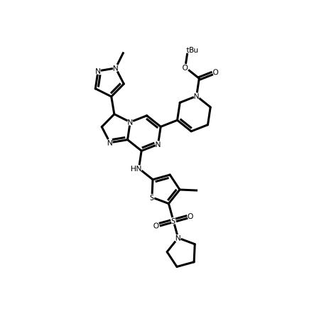 Cc1cc(NC2=NC(C3=CCCN(C(=O)OC(C)(C)C)C3)=CN3C2=NCC3c2cnn(C)c2)sc1S(=O)(=O)N1CCCC1